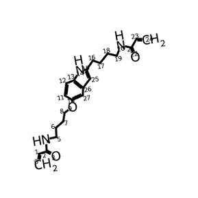 C=CC(=O)NCCCCOc1ccc2[nH]c(CCCCNC(=O)C=C)cc2c1